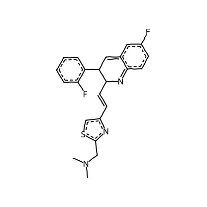 CN(C)Cc1nc(C=CC2N=c3ccc(F)cc3=CC2c2ccccc2F)cs1